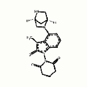 Cn1c(=O)n(N2C(=O)CCCC2=O)c2cccc(N3C[C@@H]4C[C@H]3CN4)c21